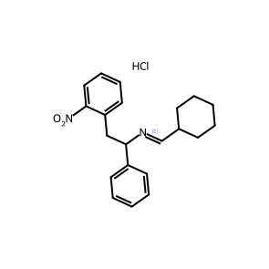 Cl.O=[N+]([O-])c1ccccc1CC(/N=C/C1CCCCC1)c1ccccc1